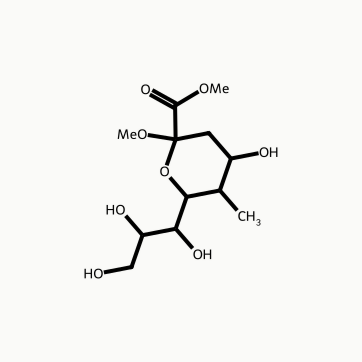 COC(=O)C1(OC)CC(O)C(C)C(C(O)C(O)CO)O1